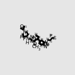 COc1nc(N[C@@H]2CCN(C3COC3)CC2(F)F)nn2ccc(-c3ccc4nnn(CCC(F)F)c4c3)c12